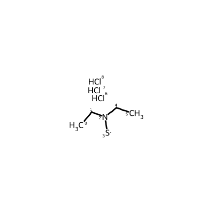 CCN([S])CC.Cl.Cl.Cl